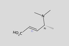 C[C@H](/C=C/C(=O)O)N(C)C